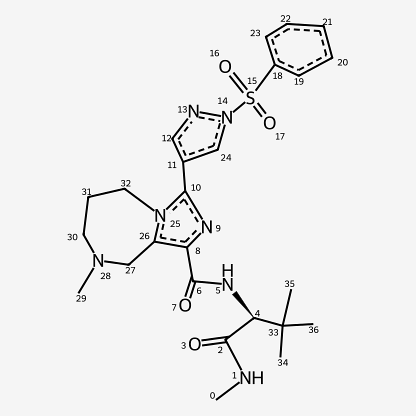 CNC(=O)[C@@H](NC(=O)c1nc(-c2cnn(S(=O)(=O)c3ccccc3)c2)n2c1CN(C)CCC2)C(C)(C)C